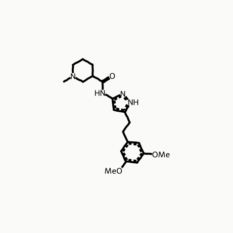 COc1cc(CCc2cc(NC(=O)C3CCCN(C)C3)n[nH]2)cc(OC)c1